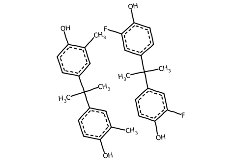 CC(C)(c1ccc(O)c(F)c1)c1ccc(O)c(F)c1.Cc1cc(C(C)(C)c2ccc(O)c(C)c2)ccc1O